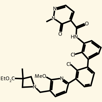 CCOC(=O)C1(C)CN(Cc2ccc(-c3cccc(-c4cccc(NC(=O)c5ccnn(C)c5=O)c4Cl)c3Cl)nc2OC)C1